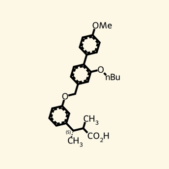 CCCCOc1cc(COc2cccc([C@@H](C)C(C)C(=O)O)c2)ccc1-c1ccc(OC)cc1